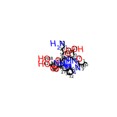 CC[C@H](C)[C@H](N)C(=O)N[C@@H](CC(=O)O)C(=O)N[C@@H](CCCCN)C(=O)N[C@@H](Cc1ccccc1)C(=O)N[C@@H](CO)C(=O)O